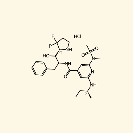 CC[C@H](C)Nc1cc(C(=O)NC(Cc2ccccc2)C(O)[C@@H]2NCCC2(F)F)cc(N(C)S(C)(=O)=O)n1.Cl